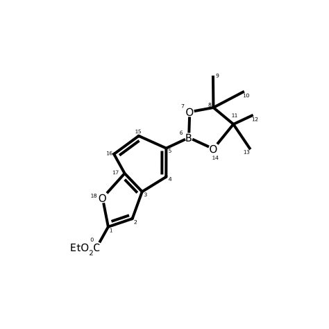 CCOC(=O)c1cc2cc(B3OC(C)(C)C(C)(C)O3)ccc2o1